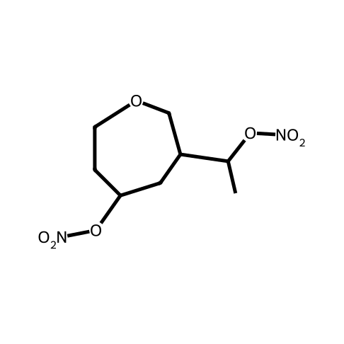 CC(O[N+](=O)[O-])C1COCCC(O[N+](=O)[O-])C1